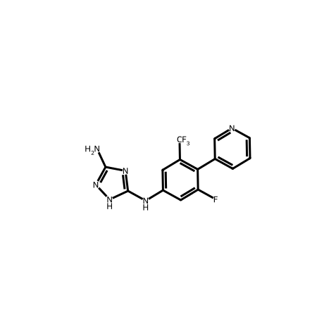 Nc1n[nH]c(Nc2cc(F)c(-c3cccnc3)c(C(F)(F)F)c2)n1